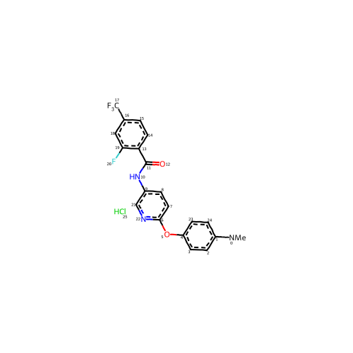 CNc1ccc(Oc2ccc(NC(=O)c3ccc(C(F)(F)F)cc3F)cn2)cc1.Cl